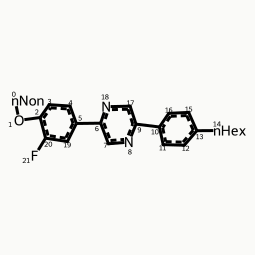 CCCCCCCCCOc1ccc(-c2cnc(-c3ccc(CCCCCC)cc3)cn2)cc1F